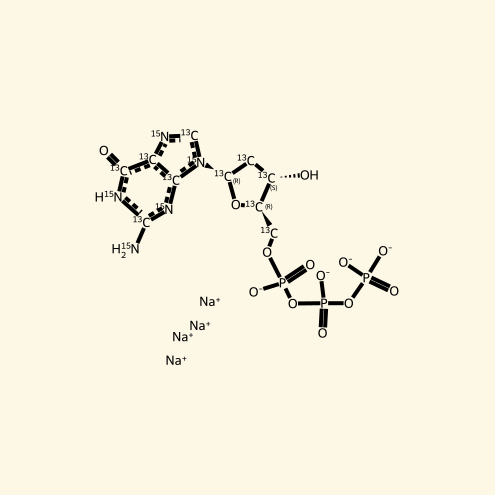 [15NH2][13c]1[15n][13c]2[13c]([15n][13cH][15n]2[13C@H]2[13CH2][13C@H](O)[13C@@H]([13CH2]OP(=O)([O-])OP(=O)([O-])OP(=O)([O-])[O-])O2)[13c](=O)[15nH]1.[Na+].[Na+].[Na+].[Na+]